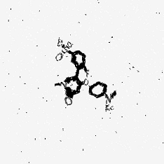 CCS(=O)(=O)c1ccc(F)c(-c2cn(C)c(=O)cc2O[C@H]2CC[C@H](N(C)C(C)=O)CC2)c1